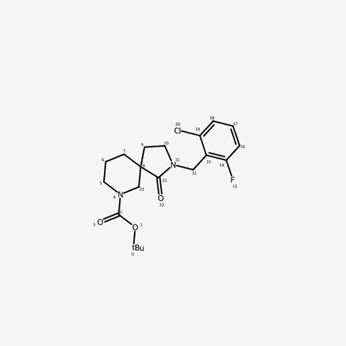 CC(C)(C)OC(=O)N1CCCC2(CCN(Cc3c(F)cccc3Cl)C2=O)C1